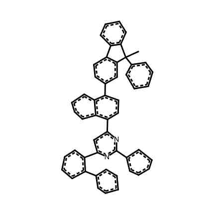 CC1(c2ccccc2)c2ccccc2-c2ccc(-c3ccc(-c4cc(-c5ccccc5-c5ccccc5)nc(-c5ccccc5)n4)c4ccccc34)cc21